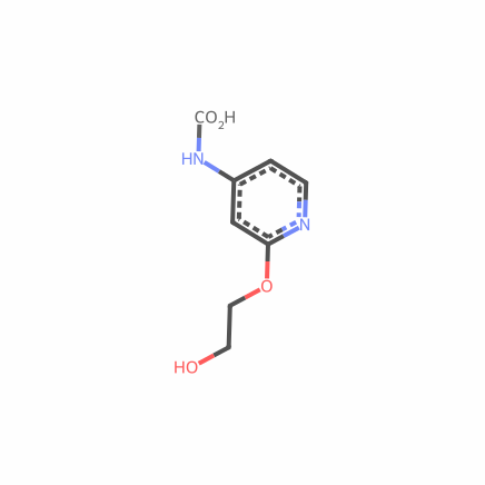 O=C(O)Nc1ccnc(OCCO)c1